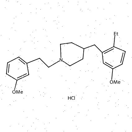 CCc1ccc(OC)cc1CC1CCN(CCc2cccc(OC)c2)CC1.Cl